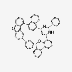 c1ccc(C2=NC(c3ccc(-c4cccc5oc6ccc(-c7ccccc7)cc6c45)c4ccccc34)=NC(c3cccc4c3OCc3ccccc3-4)N2)cc1